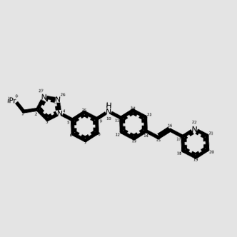 CC(C)Cc1cn(-c2cccc(Nc3ccc(/C=C/c4ccccn4)cc3)c2)nn1